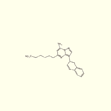 Nc1cc(CCCCCC(=O)O)nc2c(C3C=Nc4ccccc4C3)cnn12